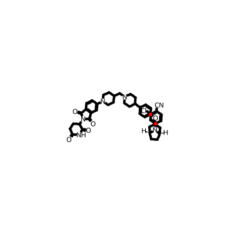 N#Cc1ccc(N2[C@@H]3CC[C@H]2CC(Oc2ccc(C4CCN(CC5CCN(c6ccc7c(c6)C(=O)N(C6CCC(=O)NC6=O)C7=O)CC5)CC4)cc2)C3)cc1Cl